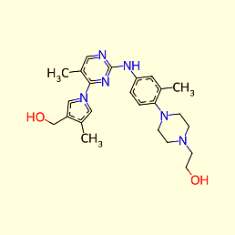 Cc1cn(-c2nc(Nc3ccc(N4CCN(CCO)CC4)c(C)c3)ncc2C)cc1CO